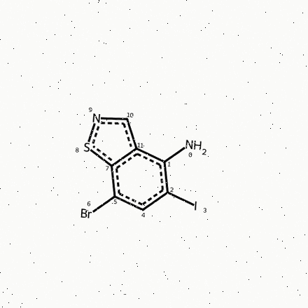 Nc1c(I)cc(Br)c2sncc12